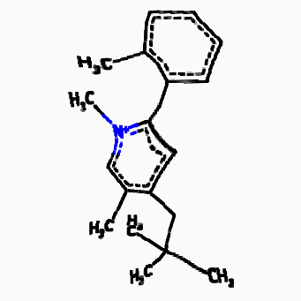 Cc1c[n+](C)c(-c2ccccc2C)cc1CC(C)(C)C